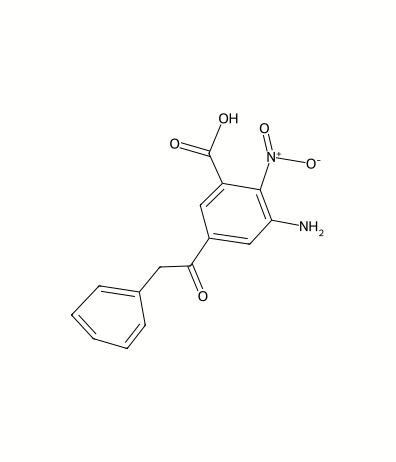 Nc1cc(C(=O)Cc2ccccc2)cc(C(=O)O)c1[N+](=O)[O-]